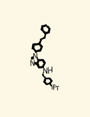 CC(C)c1ccc(CNc2ccc3c(c2)ncn3-c2ccc(CCc3ccccc3)cc2)cc1